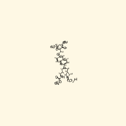 CC(C)(C)OC(=O)NCCCN(CC1CN(C(=O)O)C1)c1ccc2cc(OC[C@@H](O[Si](C)(C)C(C)(C)C)C(=O)OC(C)(C)C)ccc2n1